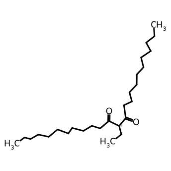 CCCCCCCCCCCC(=O)[C](CC)C(=O)CCCCCCCCCCC